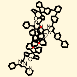 c1ccc(-c2ccc(-c3cc(-c4ccc(-c5ccccc5-c5ccc6c(c5)-c5ccccc5C65c6ccccc6Oc6c(-c7nc(-c8ccccc8)cc(-c8cccc9cc(-c%10cccc%11c%10-c%10ccccc%10C%11%10c%11ccccc%11Oc%11c(-c%12nc(-c%13ccccc%13)cc(-c%13ccccn%13)n%12)cccc%11%10)ccc89)n7)cccc65)cc4)nc(-c4cccc5c4Oc4ccccc4C54c5ccccc5-c5ccccc54)n3)cc2)cc1